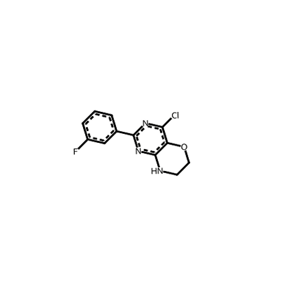 Fc1cccc(-c2nc(Cl)c3c(n2)NCCO3)c1